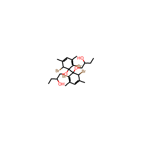 CCC(O)COC1(C2(OCC(O)CC)C(Br)=C(C)C=C(C)C2Br)C(Br)=C(C)C=C(C)C1Br